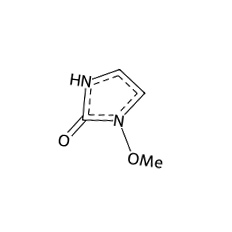 COn1cc[nH]c1=O